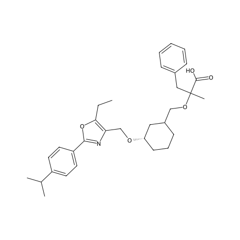 CCc1oc(-c2ccc(C(C)C)cc2)nc1CO[C@H]1CCCC(COC(C)(Cc2ccccc2)C(=O)O)C1